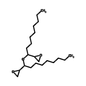 CCCCCCCCC(OC(CCCCCCCC)C1CO1)C1CO1